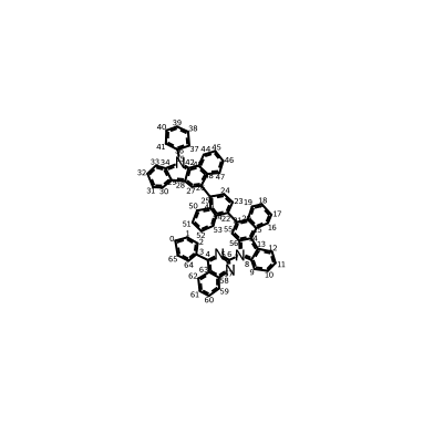 c1ccc(-c2nc(-n3c4ccccc4c4c5ccccc5c(-c5ccc(-c6cc7c8ccccc8n(-c8ccccc8)c7c7ccccc67)c6ccccc56)cc43)nc3ccccc23)cc1